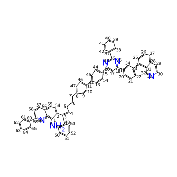 Nc1c(/C(=C\CCCc2ccc(-c3ccc(-c4cc(-c5cccc(-c6cccc7ccncc67)c5)nc(-c5ccccc5)n4)cc3)cc2)c2ccccc2)ccc2ccc(-c3ccccc3)nc12